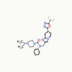 CC(C)N1CCN(C(=O)N(Cc2cn3ccc(-c4nnc(C(F)F)o4)cc3n2)c2ccccc2)CC1